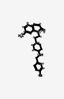 CCc1ccc(CNC2CCN(CCn3c(=O)ccc4ncc(C)cc43)CC2)nc1